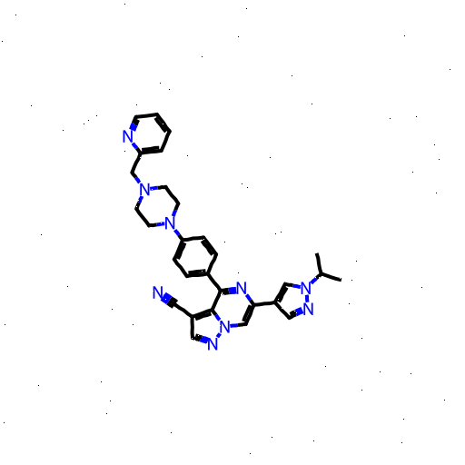 CC(C)n1cc(-c2cn3ncc(C#N)c3c(-c3ccc(N4CCN(Cc5ccccn5)CC4)cc3)n2)cn1